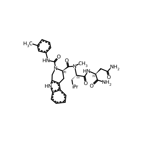 Cc1cccc(NC(=O)N2Cc3[nH]c4ccccc4c3C[C@@H]2C(=O)N(C)[C@@H](CC(C)C)C(=O)N[C@@H](CC(N)=O)C(N)=O)c1